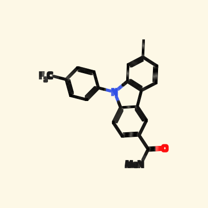 CNC(=O)c1ccc2c(c1)c1ccc(C)cc1n2-c1ccc(C(F)(F)F)cc1